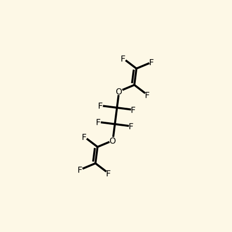 FC(F)=C(F)OC(F)(F)C(F)(F)OC(F)=C(F)F